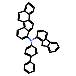 c1ccc(-c2ccc(N(c3cccc4c3Cc3ccccc3-4)c3cccc4c3ccc3c5ccccc5ccc43)cc2)cc1